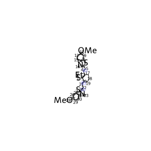 CCSC1=C(/C=C/c2sc3cc(OC)ccc3[n+]2C)CCC/C1=C\C=C1/Sc2cc(OC)ccc2N1C